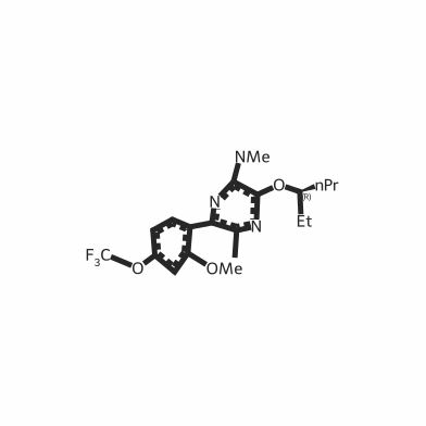 CCC[C@@H](CC)Oc1nc(C)c(-c2ccc(OC(F)(F)F)cc2OC)nc1NC